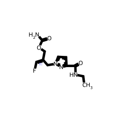 CCNC(=O)c1ccn(C/C(=C\F)COC(N)=O)n1